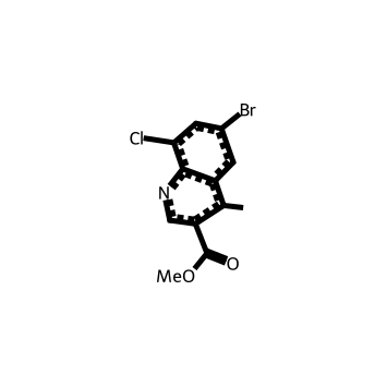 COC(=O)c1cnc2c(Cl)cc(Br)cc2c1C